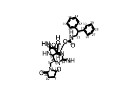 N=C1NC2[C@H](CN3C(=O)CCC3=O)NC(=N)N3C[C@H](OC(=O)NCC(c4ccccc4)c4ccccc4)C(O)(O)C23N1